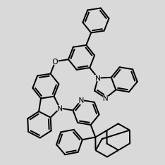 c1ccc(-c2cc(Oc3ccc4c5ccccc5n(-c5cc(C6(c7ccccc7)C7CC8CC(C7)CC6C8)ccn5)c4c3)cc(-n3cnc4ccccc43)c2)cc1